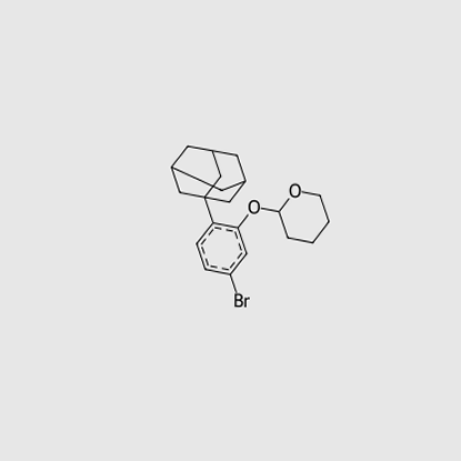 Brc1ccc(C23CC4CC(CC(C4)C2)C3)c(OC2CCCCO2)c1